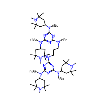 CCCCN(c1nc(NCCCN(CCC)c2nc(N(CCCC)C3CC(C)(C)N(C)C(C)(C)C3)nc(N(CCCC)C3CC(C)(C)N(C)C(C)(C)C3)n2)nc(N(CCCC)C2CC(C)(C)N(C)C(C)(C)C2)n1)C1CC(C)(C)N(C)C(C)(C)C1